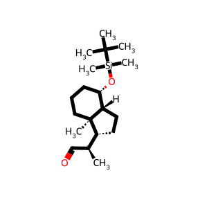 C[C@@H](C=O)[C@H]1CC[C@H]2[C@@H](O[Si](C)(C)C(C)(C)C)CCC[C@]12C